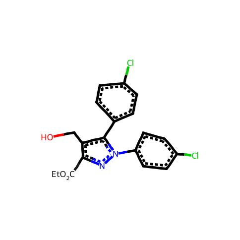 CCOC(=O)c1nn(-c2ccc(Cl)cc2)c(-c2ccc(Cl)cc2)c1CO